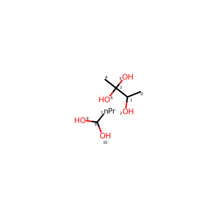 CC(O)C(C)(O)O.CCCC(O)O